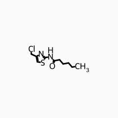 CCCCCC(=O)Nc1nc(CCl)cs1